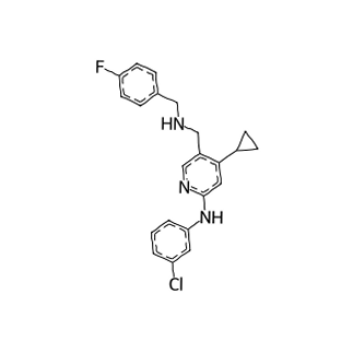 Fc1ccc(CNCc2cnc(Nc3cccc(Cl)c3)cc2C2CC2)cc1